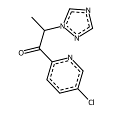 CC(C(=O)c1ccc(Cl)cn1)n1cncn1